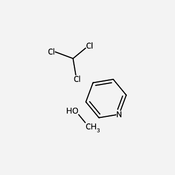 CO.ClC(Cl)Cl.c1ccncc1